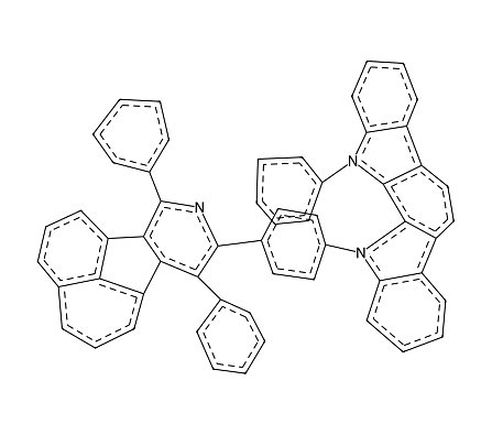 c1ccc(-c2nc(-c3ccc(-n4c5ccccc5c5ccc6c7ccccc7n(-c7ccccc7)c6c54)cc3)c(-c3ccccc3)c3c2-c2cccc4cccc-3c24)cc1